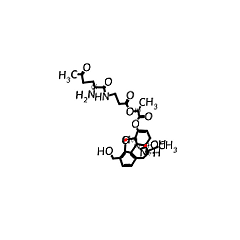 CC(=O)CC[C@H](N)C(=O)NCCC(=O)O[C@@H](C)C(=O)OC1=CC[C@@]2(O)[C@H]3Cc4ccc(CO)c5c4[C@@]2(CCN3C)[C@H]1O5